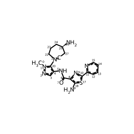 Cn1ncc(NC(=O)c2nc(-c3ccccn3)sc2N)c1N1CCC[C@@H](N)CC1